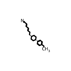 CCc1ccc([C@H]2CC[C@H](CCC=CC=CC#N)CC2)cc1